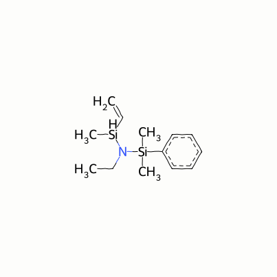 C=C[SiH](C)N(CC)[Si](C)(C)c1ccccc1